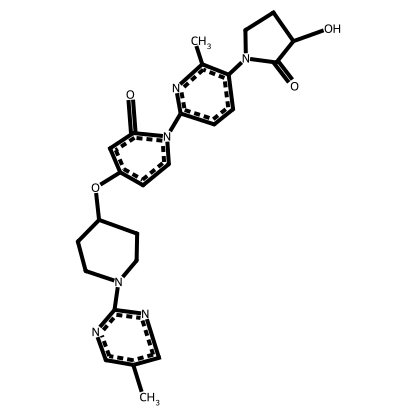 Cc1cnc(N2CCC(Oc3ccn(-c4ccc(N5CCC(O)C5=O)c(C)n4)c(=O)c3)CC2)nc1